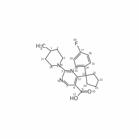 CC1CCN(c2ncc(C(=O)O)c(C3(c4ccc(F)cc4)CCCC3)n2)CC1